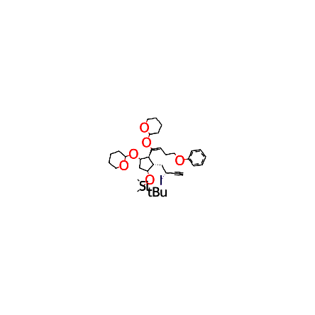 C#C[C@H](I)C[C@H]1[C@H](/C(=C\CCOc2ccccc2)OC2CCCCO2)[C@@H](OC2CCCCO2)C[C@H]1O[Si](C)(C)C(C)(C)C